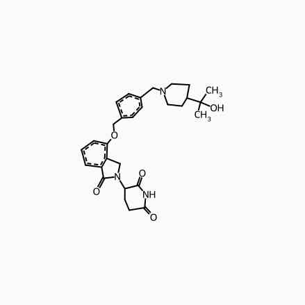 CC(C)(O)C1CCN(Cc2ccc(COc3cccc4c3CN(C3CCC(=O)NC3=O)C4=O)cc2)CC1